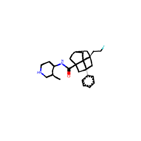 CC1CNCCC1NC(=O)C12CC3CC14[C@](CCF)(C3)C[C@@]4(c1ccccc1)C2